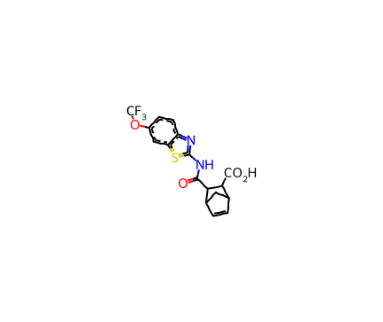 O=C(O)C1C2C=CC(C2)C1C(=O)Nc1nc2ccc(OC(F)(F)F)cc2s1